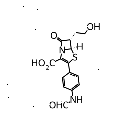 O=CNc1ccc(C2=C(C(=O)O)N3C(=O)[C@H](CCO)[C@H]3S2)cc1